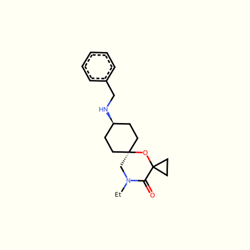 CCN1C[C@]2(CC[C@H](NCc3ccccc3)CC2)OC2(CC2)C1=O